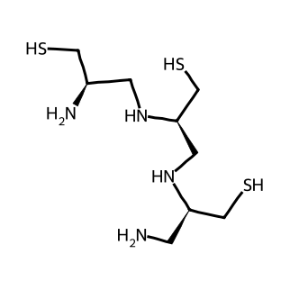 NC[C@H](CS)NC[C@H](CS)NC[C@@H](N)CS